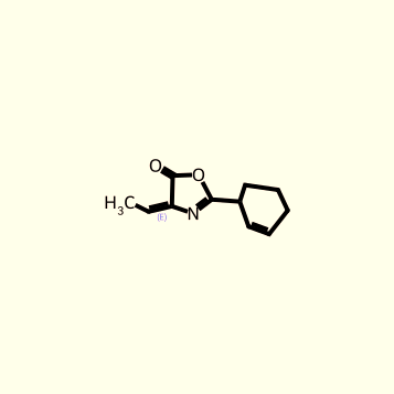 C/C=C1/N=C(C2C=CCCC2)OC1=O